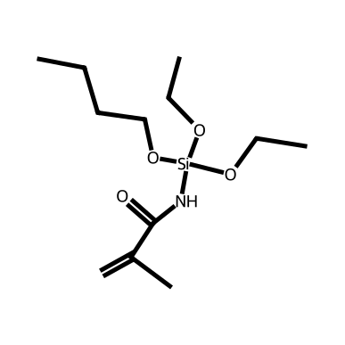 C=C(C)C(=O)N[Si](OCC)(OCC)OCCCC